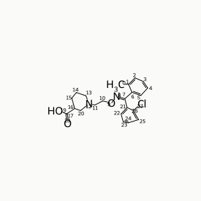 Cc1ccccc1C(=NOCCN1CCCC(C(=O)O)C1)c1ccccc1Cl